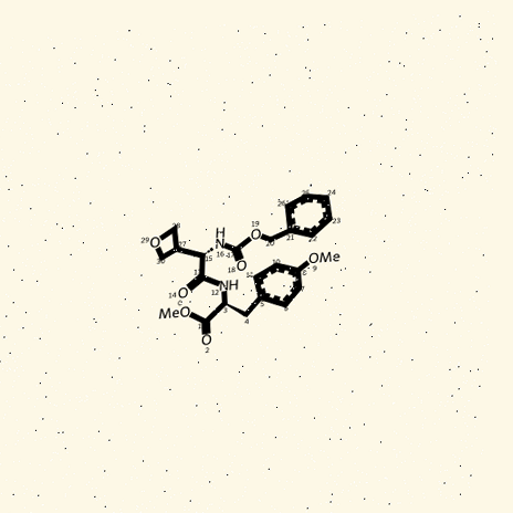 COC(=O)[C@H](Cc1ccc(OC)cc1)NC(=O)[C@@H](NC(=O)OCc1ccccc1)C1COC1